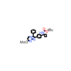 COc1ccn2c(-c3ccccc3)c(-c3ccc(C4(NC(=O)OC(C)(C)C)CCC4)cc3)nc2n1